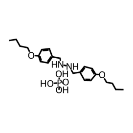 CCCCOc1ccc(CNNCc2ccc(OCCCC)cc2)cc1.O=P(O)(O)O